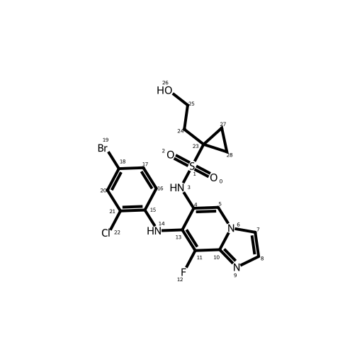 O=S(=O)(Nc1cn2ccnc2c(F)c1Nc1ccc(Br)cc1Cl)C1(CCO)CC1